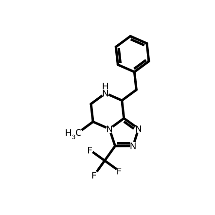 CC1CNC(Cc2ccccc2)c2nnc(C(F)(F)F)n21